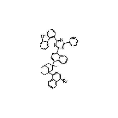 CC1(c2ccc(-c3nc(-c4ccccc4)nc(-c4cccc5oc6ccccc6c45)n3)c3ccccc23)CC2CCCC(c3ccc(Br)c4ccccc34)(C2)C1